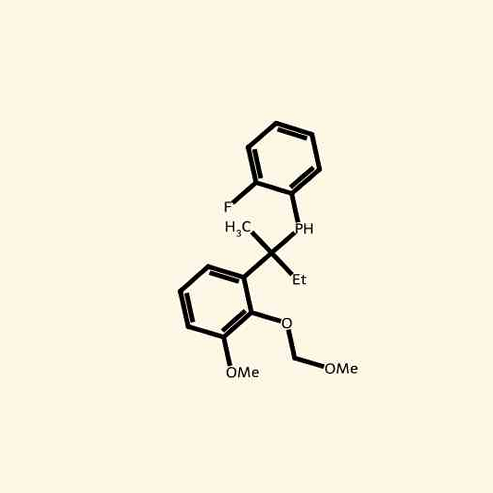 CCC(C)(Pc1ccccc1F)c1cccc(OC)c1OCOC